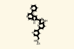 CCNCc1cncc(-c2ccc3[nH]nc(-c4cc5c(-c6ccccn6)cncc5[nH]4)c3n2)c1